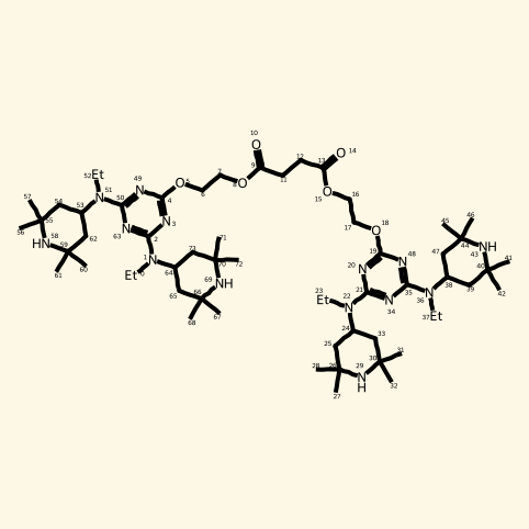 CCN(c1nc(OCCOC(=O)CCC(=O)OCCOc2nc(N(CC)C3CC(C)(C)NC(C)(C)C3)nc(N(CC)C3CC(C)(C)NC(C)(C)C3)n2)nc(N(CC)C2CC(C)(C)NC(C)(C)C2)n1)C1CC(C)(C)NC(C)(C)C1